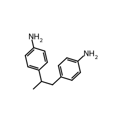 CC(Cc1ccc(N)cc1)c1ccc(N)cc1